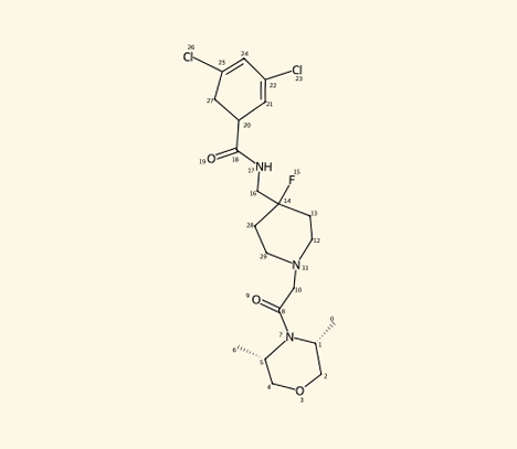 C[C@@H]1COC[C@H](C)N1C(=O)CN1CCC(F)(CNC(=O)C2C=C(Cl)C=C(Cl)C2)CC1